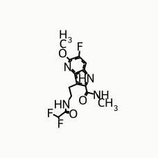 CNC(=O)c1[nH]c2cc(F)c(OC)nc2c1CCNC(=O)C(F)F